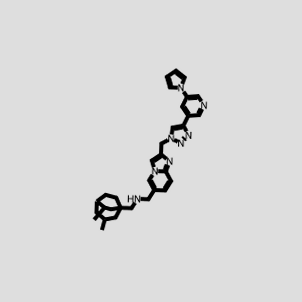 CC1CC2CCC(CNCc3ccc4nc(Cn5cc(-c6cncc(-n7cccc7)c6)nn5)cn4c3)(C1)CC2C